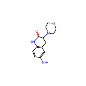 [NH]c1ccc2c(c1)CC(N1CCSCC1)C(=O)N2